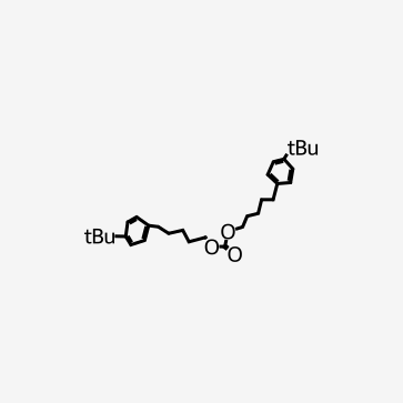 CC(C)(C)c1ccc(CCCCCOC(=O)OCCCCCc2ccc(C(C)(C)C)cc2)cc1